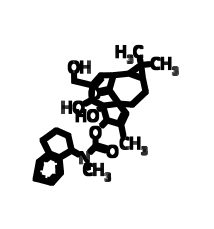 CC1=CC23CCC4C(C(C=C(CO)C(O)C2(O)C1OC(=O)N(C)C1CCCc2ccccc21)C3=O)C4(C)C